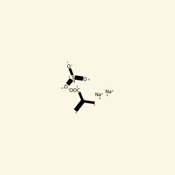 C=C(C)C(=O)[O-].O=[SH](=O)[O-].[Na+].[Na+]